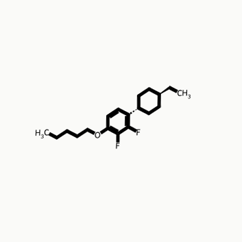 CCCCCOc1ccc([C@H]2CC[C@H](CC)CC2)c(F)c1F